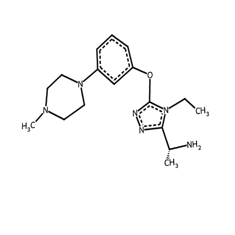 CCn1c(Oc2cccc(N3CCN(C)CC3)c2)nnc1[C@@H](C)N